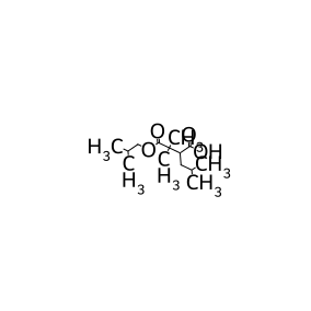 CC(C)COC(=O)C(C)(C)C(CC(C)C)C(=O)O